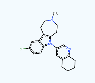 CN1CCc2c(n(-c3cnc4c(c3)CCCC4)c3ccc(Cl)cc23)CC1